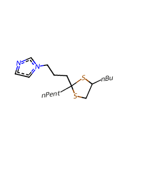 CCCCCC1(CCCn2ccnc2)SCC(CCCC)S1